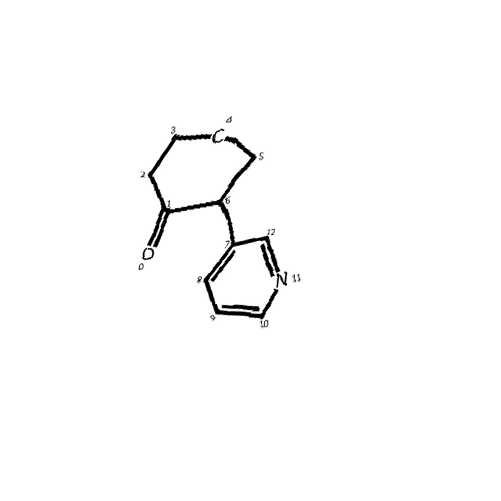 O=C1CCCCC1c1cccnc1